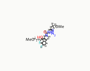 COCCCC[C@@](O)(c1cccc(F)c1F)[C@@H]1CCCN(C(=O)NC[C@@H](N)CC(C)(C)COC)C1